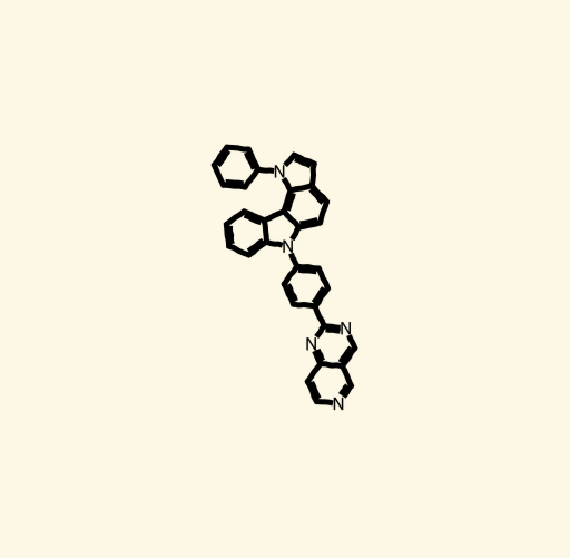 c1ccc(-n2ccc3ccc4c(c5ccccc5n4-c4ccc(-c5ncc6cnccc6n5)cc4)c32)cc1